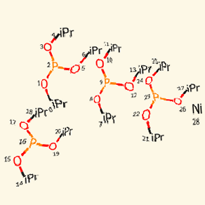 CC(C)OP(OC(C)C)OC(C)C.CC(C)OP(OC(C)C)OC(C)C.CC(C)OP(OC(C)C)OC(C)C.CC(C)OP(OC(C)C)OC(C)C.[Ni]